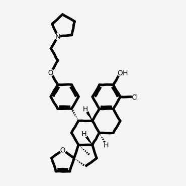 C[C@]12C[C@H](c3ccc(OCCN4CCCC4)cc3)[C@@H]3c4ccc(O)c(Cl)c4CC[C@H]3[C@@H]1CC[C@@]21C=CCO1